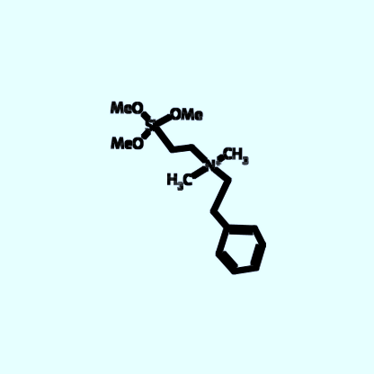 CO[Si](CC[N+](C)(C)CCc1ccccc1)(OC)OC